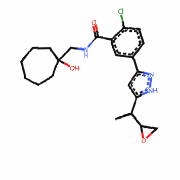 CC(c1cc(-c2ccc(Cl)c(C(=O)NCC3(O)CCCCCC3)c2)n[nH]1)C1CO1